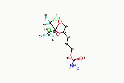 NC(=O)OCCCC1COC(C(F)(F)Cl)(C(F)(F)Cl)O1